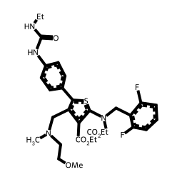 CCNC(=O)Nc1ccc(-c2sc(N(Cc3c(F)cccc3F)C(=O)OCC)c(C(=O)OCC)c2CN(C)CCOC)cc1